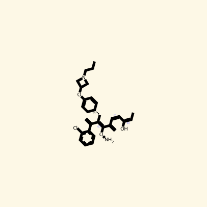 C=C(/C=C\C(O)=C/C)/C(ON)=C(\C[C@H]1C=CC(OC2CN(CCC)C2)=CC1)C(=C)c1ccccc1Cl